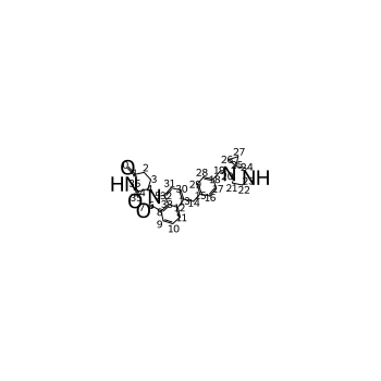 O=C1CCC(N2C(=O)c3cccc4c(Cc5ccc(CN6CCNCC67CC7)cc5)ccc2c34)C(=O)N1